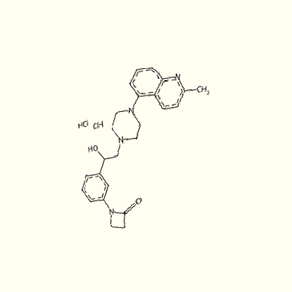 Cc1ccc2c(N3CCN(CC(O)c4cccc(N5CCC5=O)c4)CC3)cccc2n1.Cl.Cl